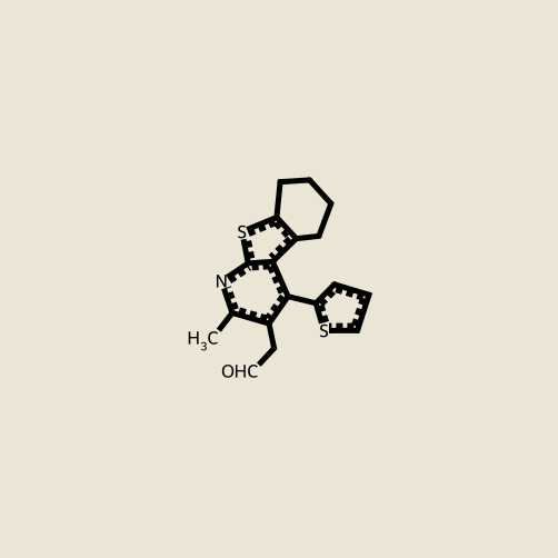 Cc1nc2sc3c(c2c(-c2cccs2)c1CC=O)CCCC3